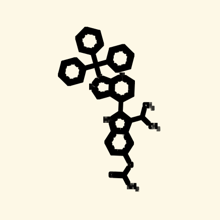 CC(C)c1c(-c2ccnc3c2cnn3C(c2ccccc2)(c2ccccc2)c2ccccc2)[nH]c2ccc(OC(N)=O)cc12